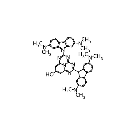 CN(C)c1ccc2c(c1)C(C1=NC3=NC(n4c5cc(N(C)C)ccc5c5ccc(N(C)C)cc54)=NC4=CC(O)=CC(=N1)N43)c1cc(N(C)C)ccc1-2